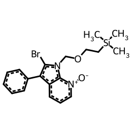 C[Si](C)(C)CCOCn1c(Br)c(-c2ccccc2)c2ccc[n+]([O-])c21